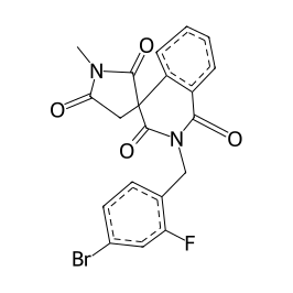 CN1C(=O)CC2(C1=O)C(=O)N(Cc1ccc(Br)cc1F)C(=O)c1ccccc12